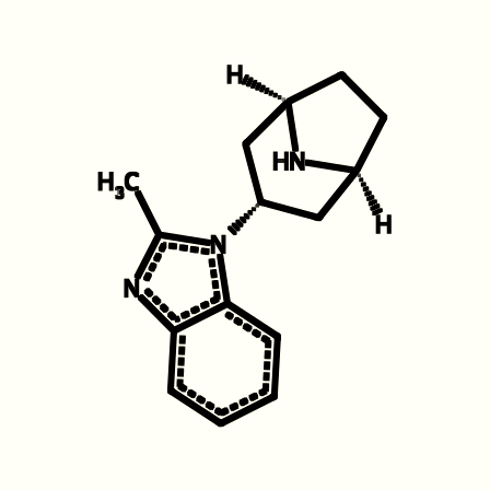 Cc1nc2ccccc2n1[C@@H]1C[C@H]2CC[C@@H](C1)N2